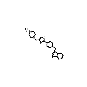 CN1CCN(Cc2coc(-c3ccc(Cn4cnc5ccccc54)cc3)n2)CC1